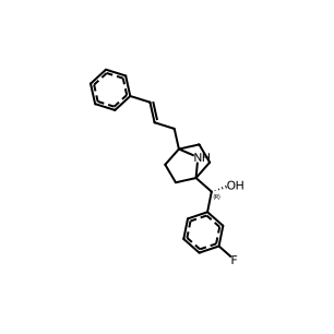 O[C@H](c1cccc(F)c1)C12CCC(CC=Cc3ccccc3)(CC1)N2